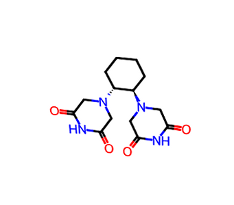 O=C1CN([C@@H]2CCCC[C@H]2N2CC(=O)NC(=O)C2)CC(=O)N1